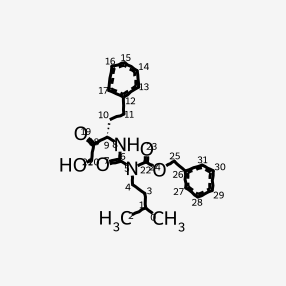 CC(C)CCN(C(=O)N[C@@H](CCc1ccccc1)C(=O)CO)C(=O)OCc1ccccc1